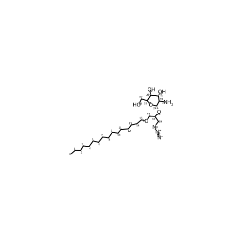 CCCCCCCCCCCCCCCCOC[C@H](CN=[N+]=[N-])O[C@@H]1OC(CO)[C@@H](O)[C@H](O)C1N